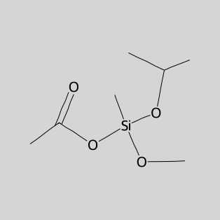 CO[Si](C)(OC(C)=O)OC(C)C